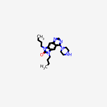 CCCCn1c(=O)n(CCCC)c2cc3c(N4CCNCC4)ncnc3cc21